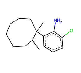 CC1CCCCCCC1(C)c1cccc(Cl)c1N